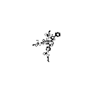 CCCCOC(=O)N1CCN(C(=O)C(CP(=O)(OCOC(=O)OCC)OCOC(=O)OCC)NC(=O)c2csc(-c3ccccc3)n2)CC1